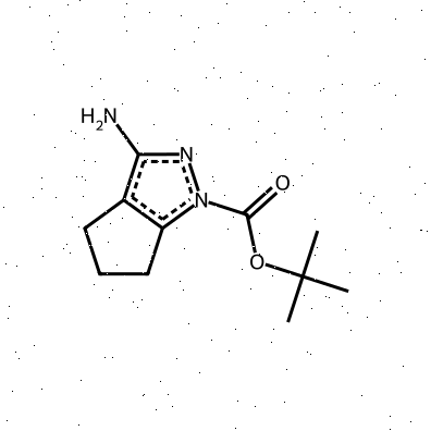 CC(C)(C)OC(=O)n1nc(N)c2c1CCC2